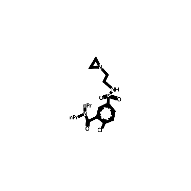 CCCN(CCC)C(=O)c1cc(S(=O)(=O)NCCN2CC2)ccc1Cl